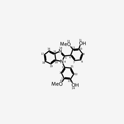 COc1cc(-n2c(-c3cccc(O)c3OC)nc3ccccc32)ccc1O